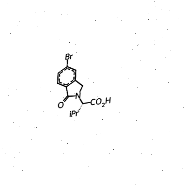 CC(C)[C@@H](C(=O)O)N1Cc2cc(Br)ccc2C1=O